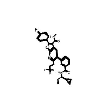 CC[C@@H](NC(=O)c1cccc(-c2cc3c(C(=O)NC)c(-c4ccc(F)cc4)oc3nc2CCC(F)(F)F)c1)C1CC1